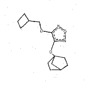 C1CC(COc2nsnc2OC23CCC(CC2)C3)C1